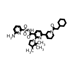 CC1CCN(c2nc(C3=CCCN(C(=O)CC4CCCCC4)C3)ccc2C(=O)NS(=O)(=O)c2cccc(N)n2)C1(C)C